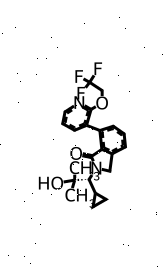 CC(C)(O)[C@@H](C1CC1)N1Cc2cccc(-c3cccnc3OCC(F)(F)F)c2C1=O